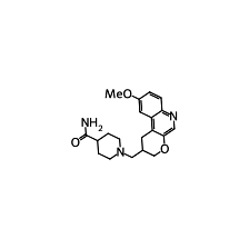 COc1ccc2ncc3c(c2c1)CC(CN1CCC(C(N)=O)CC1)CO3